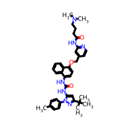 Cc1ccc(-n2nc(C(C)(C)C)cc2NC(=O)Nc2ccc(OCc3ccnc(NC(=O)CCCN(C)C)c3)c3ccccc23)cc1